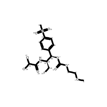 COCCOC(=O)O[C@H](c1ccc(S(C)(=O)=O)cc1)[C@@H](CF)NC(=O)C(Cl)Cl